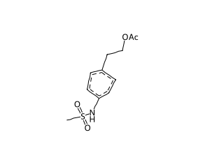 CC(=O)OCCc1ccc(NS(C)(=O)=O)cc1